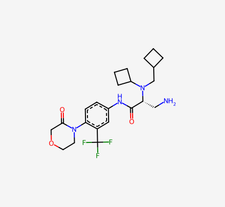 NC[C@H](C(=O)Nc1ccc(N2CCOCC2=O)c(C(F)(F)F)c1)N(CC1CCC1)C1CCC1